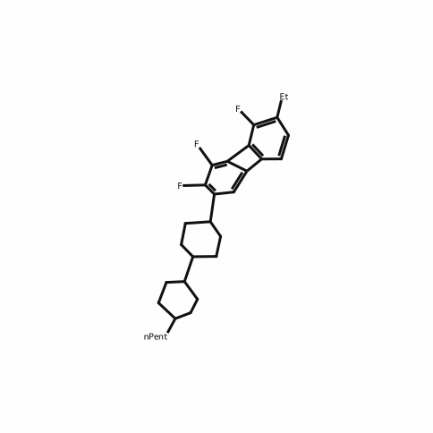 CCCCCC1CCC(C2CCC(c3cc4c(c(F)c3F)-c3c-4ccc(CC)c3F)CC2)CC1